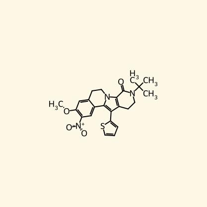 COc1cc2c(cc1[N+](=O)[O-])-c1c(-c3cccs3)c3c(n1CC2)C(=O)N(C(C)(C)C)CC3